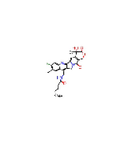 CC[C@@]1(O)C(=O)OCc2c1cc1n(c2=O)Cc2c-1nc1cc(F)c(C)cc1c2CNC(=O)CCCSC